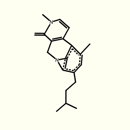 C=C1C2=C(C=CN1C)c1c(C)cc(CCC(C)C)c3c1N3C2